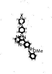 COc1ccccc1CNc1ccc(-c2nn(C3CCC(N4CCN(C)CC4)CC3)c3ncnc(N)c23)cc1